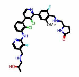 COc1cc(-c2nccc(-c3cccc(Nc4nccc(CNCC(C)O)c4F)c3Cl)c2Cl)cc(F)c1CNCC1CCC(=O)N1